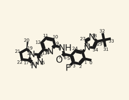 Cc1cc(F)c(C(=O)Nc2cccc(-c3nnc4n3[C@H](C)CC4)n2)cc1-n1cnc(C(C)(C)C)c1